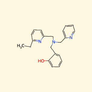 CCc1cccc(CN(Cc2ccccn2)Cc2ccccc2O)n1